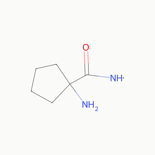 [NH]C(=O)C1(N)CCCC1